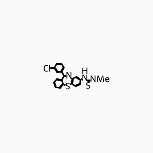 CNC(=S)Nc1ccc2c(c1)N=C(c1cccc(Cl)c1)c1ccccc1S2